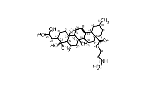 CNCCOC(=O)C12CCC(C)CC1C1=CCC3C(C)(CCC4C3(C)CCC(CC(O)O)[C@@]4(C)O)C1CC2